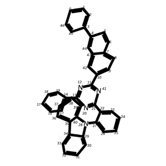 c1ccc(-c2ccc3ccc(-c4nc(-c5ccccc5)nc(-c5ccccc5-n5c6ccccc6c6ccccc65)n4)cc3c2)cc1